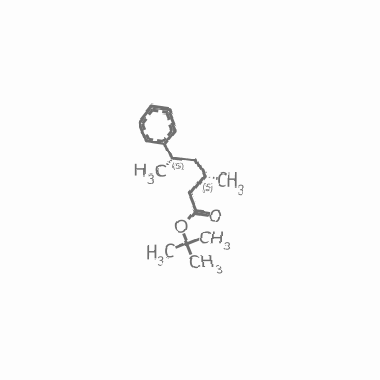 C[C@H](CC(=O)OC(C)(C)C)C[C@H](C)c1ccccc1